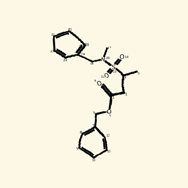 CC(CC(=O)OCc1ccccc1)S(=O)(=O)N(C)Cc1ccccc1